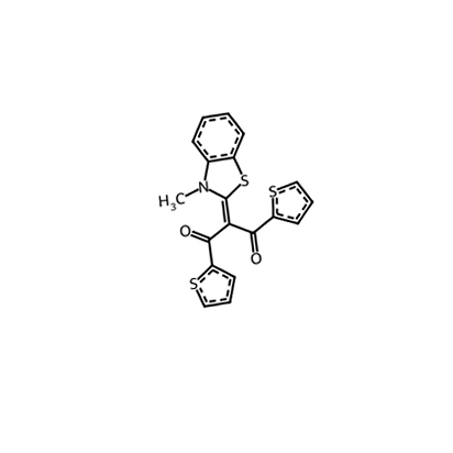 CN1C(=C(C(=O)c2cccs2)C(=O)c2cccs2)Sc2ccccc21